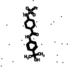 CC(C)S(=O)(=O)NC1CCC(C(=O)Nc2ccc(C(C)(C)O)cc2)CC1